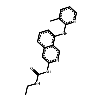 CCNC(=O)Nc1cc2cccc(Nc3ncccc3C)c2cn1